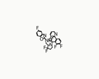 O=C(c1c(-c2ncccn2)ccc(F)c1F)N1CCC(F)(F)C1CNc1nc2cc(F)ccc2o1